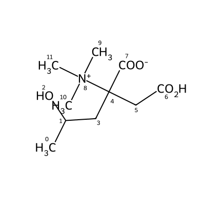 CC(O)CC(CC(=O)O)(C(=O)[O-])[N+](C)(C)C